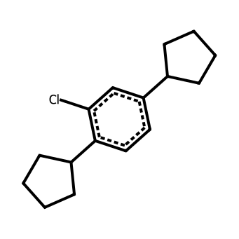 Clc1cc(C2CCCC2)ccc1C1CCCC1